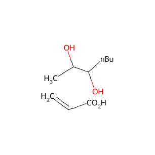 C=CC(=O)O.CCCCC(O)C(C)O